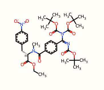 CCOC(=O)[C@H](Cc1ccc([N+](=O)[O-])cc1)N(C)C(=O)c1ccc(C(=NC(=O)OC(C)(C)C)N(C(=O)OC(C)(C)C)C(=O)OC(C)(C)C)cc1